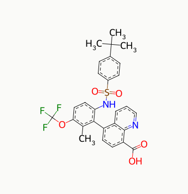 Cc1c(OC(F)(F)F)ccc(NS(=O)(=O)c2ccc(C(C)(C)C)cc2)c1-c1ccc(C(=O)O)c2ncccc12